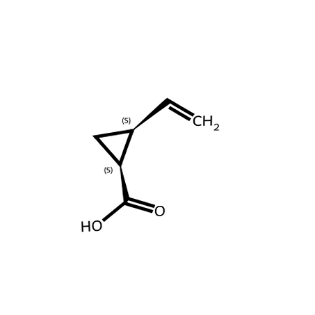 C=C[C@@H]1C[C@@H]1C(=O)O